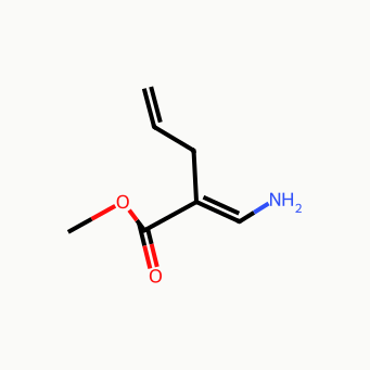 C=CC/C(=C\N)C(=O)OC